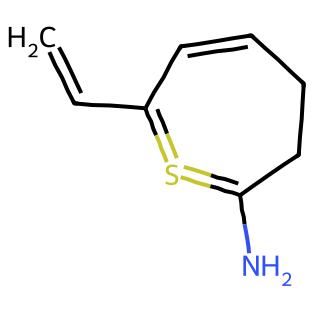 C=CC1=S=C(N)CCC=C1